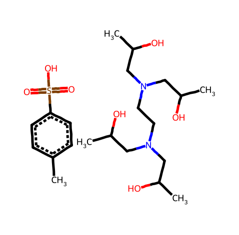 CC(O)CN(CCN(CC(C)O)CC(C)O)CC(C)O.Cc1ccc(S(=O)(=O)O)cc1